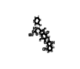 Cn1c([C@@H](Cc2cccnc2)NC(=O)OC(C)(C)C)nc2c1c(=O)n(Cc1cc3c(Cl)cccc3[nH]1)c(=O)n2C